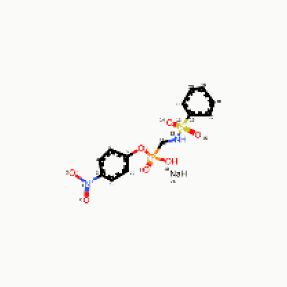 O=[N+]([O-])c1ccc(OP(=O)(O)CNS(=O)(=O)c2ccccc2)cc1.[NaH]